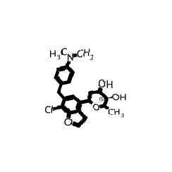 CC1OC(c2cc(Cc3ccc(N(C)C)cc3)c(Cl)c3c2CCO3)CC(O)[C@@H]1O